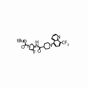 CC(C)(C)OC(=O)N1C[C@H](F)[C@H](NC(=O)C2CCN(c3ccc(C(F)(F)F)c4ncccc34)CC2)C1